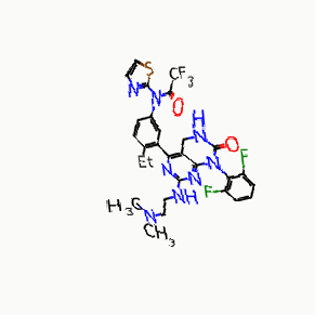 CCc1ccc(N(C(=O)C(F)(F)F)c2nccs2)cc1-c1nc(NCCN(C)C)nc2c1CNC(=O)N2c1c(F)cccc1F